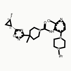 CC(C)N1CCN(c2ccnc(Cl)c2NC(=O)N2CCC(C)(c3noc([C@@H]4C[C@@H]4F)n3)CC2)CC1